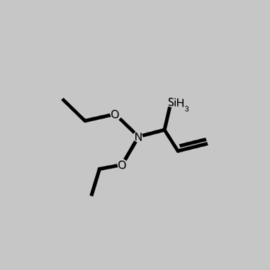 C=CC([SiH3])N(OCC)OCC